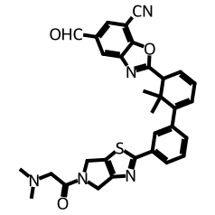 CN(C)CC(=O)N1Cc2nc(-c3cccc(C4=CC=CC(c5nc6cc(C=O)cc(C#N)c6o5)C4(C)C)c3)sc2C1